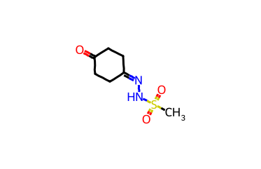 CS(=O)(=O)NN=C1CCC(=O)CC1